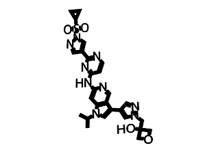 CC(C)n1cc(-c2cnn(CC3(O)COC3)c2)c2cnc(Nc3ccnc(-c4cnn(S(=O)(=O)C5CC5)c4)n3)cc21